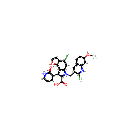 COc1ccc2cc(Cn3c(C(=O)O)c(-c4ccc[nH]c4=O)c4c5occc5c(F)cc43)c(Cl)nc2c1